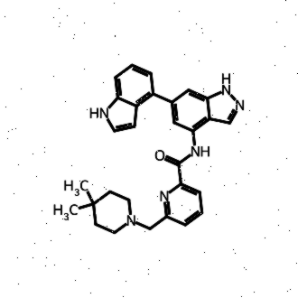 CC1(C)CCN(Cc2cccc(C(=O)Nc3cc(-c4cccc5[nH]ccc45)cc4[nH]ncc34)n2)CC1